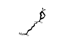 CNC(=O)CCCCCCNC(=O)c1ccc(N(C)C)cc1